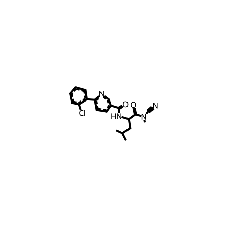 CC(C)CC(NC(=O)c1ccc(-c2ccccc2Cl)nc1)C(=O)N(C)C#N